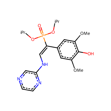 COc1cc(/C(=C\Nc2cnccn2)P(=O)(OC(C)C)OC(C)C)cc(OC)c1O